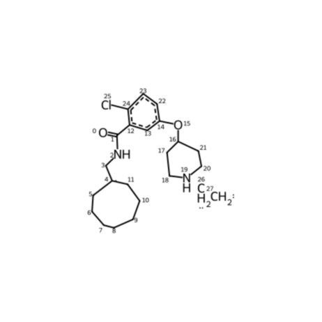 O=C(NC[C]1CCCCCCC1)c1cc(OC2CCNCC2)ccc1Cl.[CH2].[CH2]